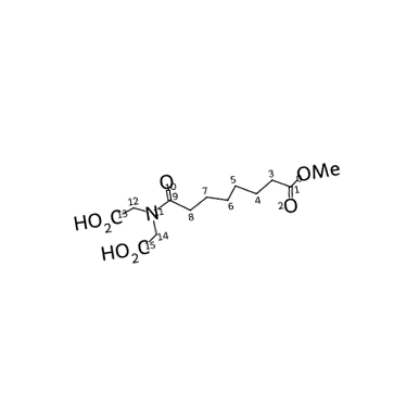 COC(=O)CCCCCCC(=O)N(CC(=O)O)CC(=O)O